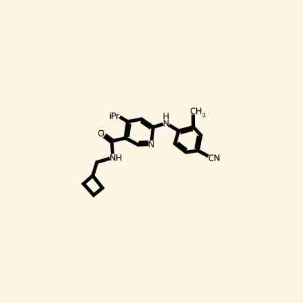 Cc1cc(C#N)ccc1Nc1cc(C(C)C)c(C(=O)NCC2CCC2)cn1